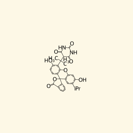 CC(C)c1cc2c(cc1O)Oc1c(ccc(O)c1C(C)(C)C1C(=O)NC(=O)NC1=O)C21OC(=O)c2ccccc21